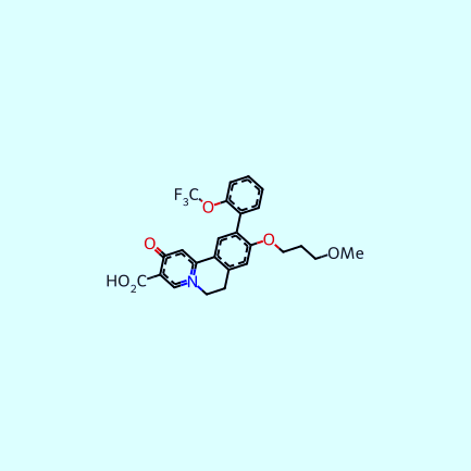 COCCCOc1cc2c(cc1-c1ccccc1OC(F)(F)F)-c1cc(=O)c(C(=O)O)cn1CC2